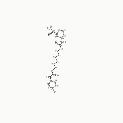 [CH2]c1ccc(NC(=O)CCCCCCCCC(=O)Nc2cccc(C(=O)C(F)(F)F)c2)cc1